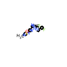 C#C[C@]1(c2cc(F)ccc2F)CCCN1c1ccn2ncc(-c3ccc(N=S4(=O)CCN(C)CC4)cn3)c2n1